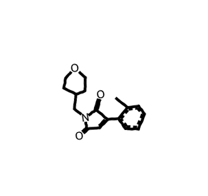 Cc1ccccc1C1=CC(=O)N(CC2CCOCC2)C1=O